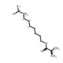 C=C(C)C(=O)OCCCCCCC[SiH2]C(F)F